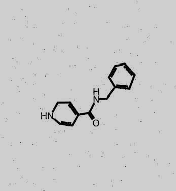 O=C(NCc1ccccc1)C1=CCNC=C1